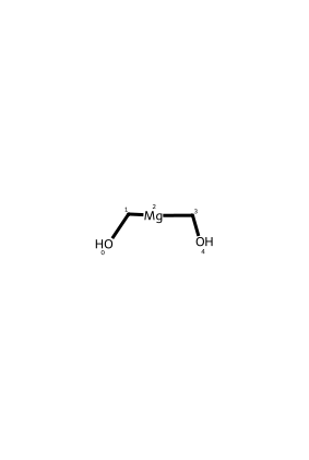 O[CH2][Mg][CH2]O